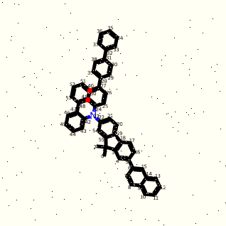 CC1(C)c2cc(-c3ccc4ccccc4c3)ccc2-c2ccc(N(c3ccc(-c4ccc(-c5ccccc5)cc4)cc3)c3ccccc3-c3ccccc3)cc21